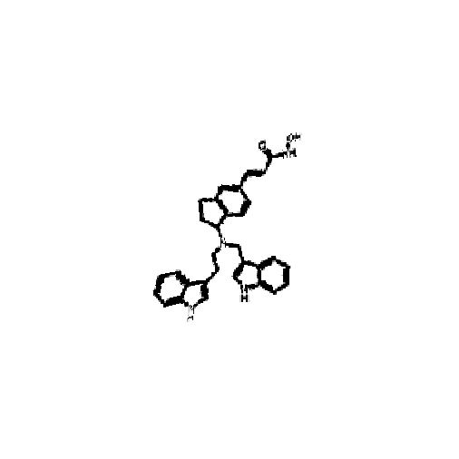 O=C(/C=C/c1ccc2c(c1)CCC2N(CCc1c[nH]c2ccccc12)Cc1c[nH]c2ccccc12)NO